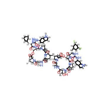 C[C@@H]1C[C@H]2C(=O)OC[C@H](NC(=O)[C@H](Cc3ccccc3)NC(=O)Nc3ccc4ccn(C)c4c3)C(=O)N3CCC[C@H]3C(=O)N3CC(C[C@@H]4C[C@H]5C(=O)O[C@@H](C)[C@H](NC(=O)[C@H](Cc6cc(F)cc(F)c6)NC(=O)Nc6ccc7ccn(C)c7c6)C(=O)N6CCC[C@H]6C(=O)N(C)[C@@H]([C@H](C)O)C(=O)N[C@@H](C)C(=O)N5C4)CC[C@H]3C(=O)N[C@@H](C)C(=O)N2C1